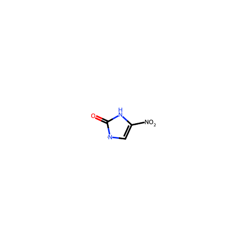 O=C1[N]C=C([N+](=O)[O-])N1